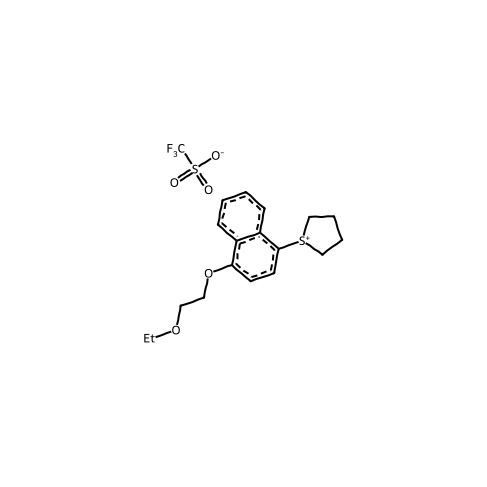 CCOCCOc1ccc([S+]2CCCC2)c2ccccc12.O=S(=O)([O-])C(F)(F)F